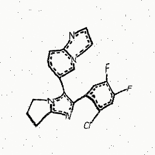 Fc1cc(Cl)c(-c2nc3n(c2-c2ccc4nccn4c2)CCC3)cc1F